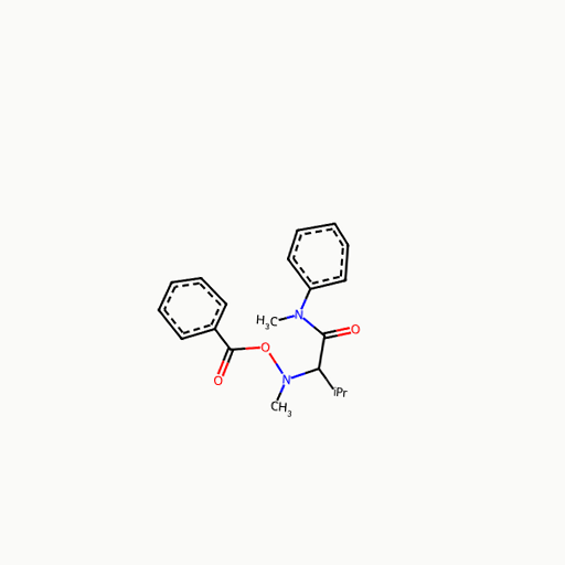 CC(C)C(C(=O)N(C)c1ccccc1)N(C)OC(=O)c1ccccc1